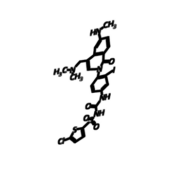 CNc1ccc2c(=O)n(-c3ccc(NC(=O)NS(=O)(=O)c4ccc(Cl)s4)cc3I)cc(CN(C)C)c2c1